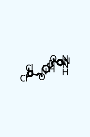 O=C(/C=C/c1cc(Cl)cc(Cl)c1)N1CCC2CN(C(=O)c3ccc4[nH]nnc4c3)C[C@H]2CC1